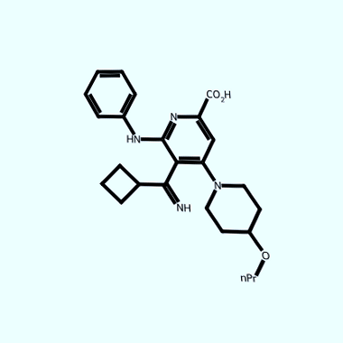 CCCOC1CCN(c2cc(C(=O)O)nc(Nc3ccccc3)c2C(=N)C2CCC2)CC1